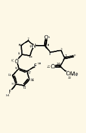 C=C(CCC(=O)N1CCC(Oc2cc(F)ccc2F)C1)C(=O)OC